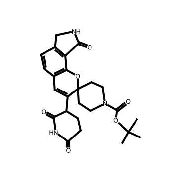 CC(C)(C)OC(=O)N1CCC2(CC1)Oc1c(ccc3c1C(=O)NC3)C=C2C1CCC(=O)NC1=O